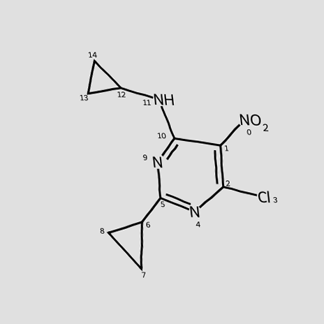 O=[N+]([O-])c1c(Cl)nc(C2CC2)nc1NC1CC1